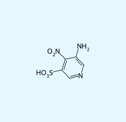 Nc1cncc(S(=O)(=O)O)c1[N+](=O)[O-]